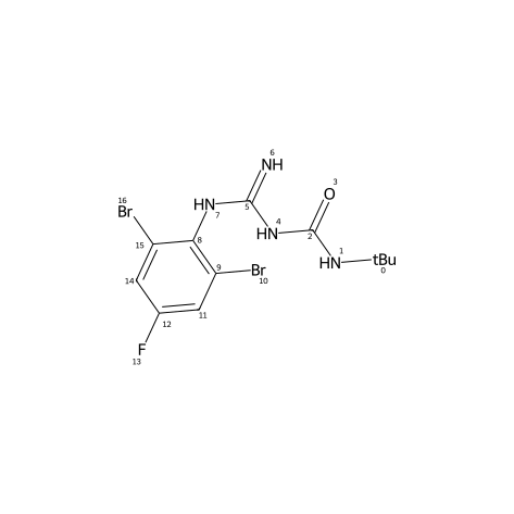 CC(C)(C)NC(=O)NC(=N)Nc1c(Br)cc(F)cc1Br